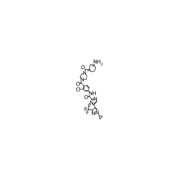 Cn1c(-c2cn(C3CC3)nc2C(F)(F)F)cnc1C(=O)Nc1ccc(C(=O)N2CCN(C(=O)[C@@H]3CCC[C@@H](N)C3)CC2)c(Cl)c1